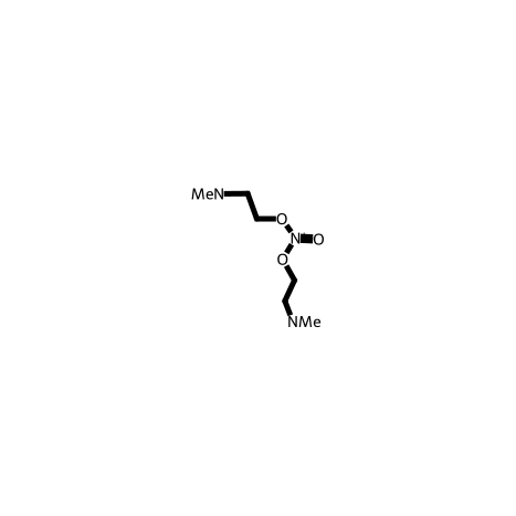 CNCCO[N+](=O)OCCNC